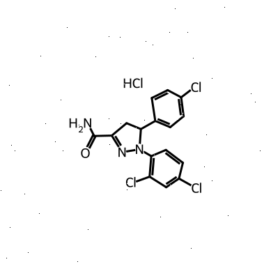 Cl.NC(=O)C1=NN(c2ccc(Cl)cc2Cl)C(c2ccc(Cl)cc2)C1